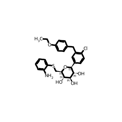 CCOc1ccc(Cc2cc([C@@H]3O[C@H](CSc4ccccc4N)[C@@H](O)[C@H](O)[C@H]3O)ccc2Cl)cc1